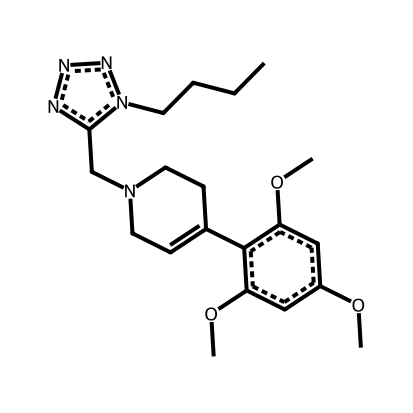 CCCCn1nnnc1CN1CC=C(c2c(OC)cc(OC)cc2OC)CC1